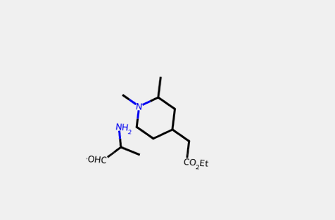 CC(N)[C]=O.CCOC(=O)CC1CCN(C)C(C)C1